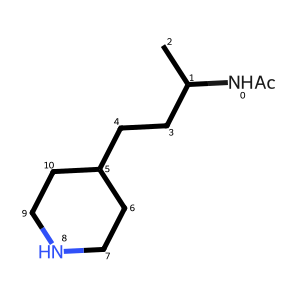 CC(=O)NC(C)CCC1CCNCC1